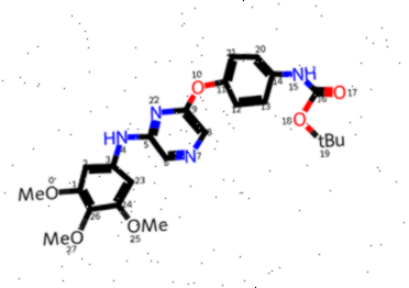 COc1cc(Nc2cncc(Oc3ccc(NC(=O)OC(C)(C)C)cc3)n2)cc(OC)c1OC